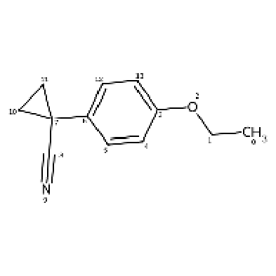 CCOc1ccc(C2(C#N)CC2)cc1